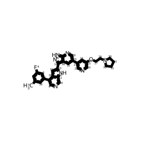 Cc1cc(F)cc(-c2cncc3[nH]c(-c4n[nH]c5ncc(-c6cncc(OCCN7CCCC7)c6)cc45)cc23)c1